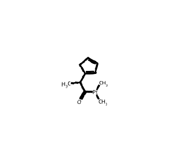 CC([C](=O)[Pt]([CH3])[CH3])C1=CC=CC1